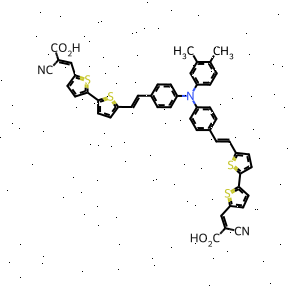 Cc1ccc(N(c2ccc(/C=C/c3ccc(-c4ccc(/C=C(\C#N)C(=O)O)s4)s3)cc2)c2ccc(/C=C/c3ccc(-c4ccc(/C=C(\C#N)C(=O)O)s4)s3)cc2)cc1C